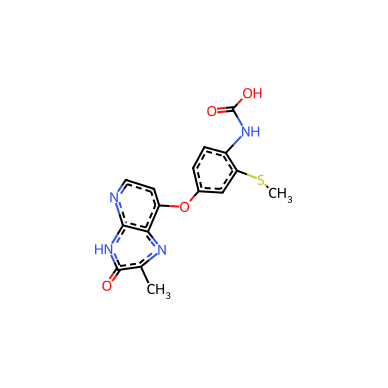 CSc1cc(Oc2ccnc3[nH]c(=O)c(C)nc23)ccc1NC(=O)O